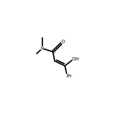 CC(C)/C(O)=C/C(=O)N(C)C